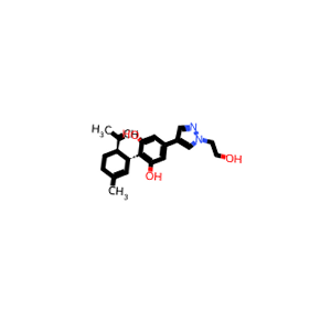 C=C(C)[C@@H]1CCC(C)=C[C@H]1c1c(O)cc(-c2cnn(CCO)c2)cc1O